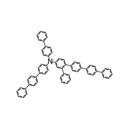 c1ccc(-c2ccc(-c3ccc(-c4ccc(N(c5ccc(-c6ccccc6)cc5)c5ccc(-c6ccc(-c7ccccc7)cc6)cc5)cc4-c4ccccc4)cc3)cc2)cc1